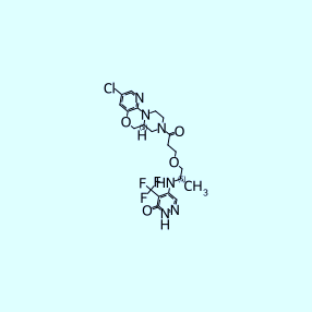 C[C@@H](COCCC(=O)N1CCN2c3ncc(Cl)cc3OC[C@@H]2C1)Nc1cn[nH]c(=O)c1C(F)(F)F